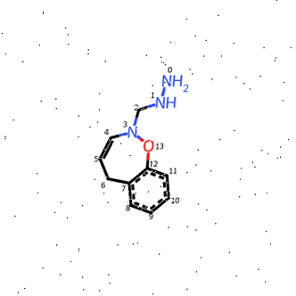 NNCN1C=CCc2ccccc2O1